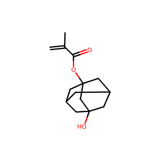 C=C(C)C(=O)OC12[CH]C3(O)CC(CC(C3)C1)C2